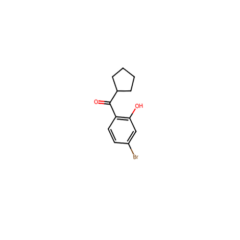 O=C(c1ccc(Br)cc1O)C1CCCC1